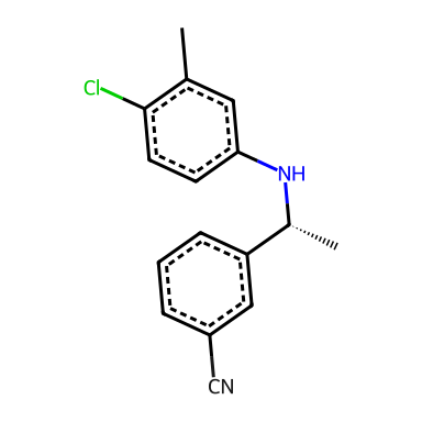 Cc1cc(N[C@H](C)c2cccc(C#N)c2)ccc1Cl